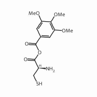 COc1cc(C(=O)OC(=O)[C@@H](N)CS)cc(OC)c1OC